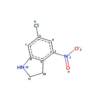 O=[N+]([O-])c1cc(Cl)cc2c1CCN2